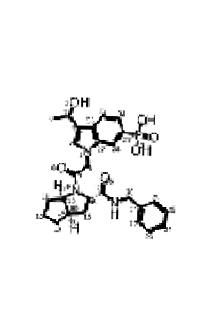 CC(O)c1cn(CC(=O)N2[C@@H]3CCC[C@@H]3C[C@H]2C(=O)NCc2ccccc2)c2cc(P(=O)(O)O)ccc12